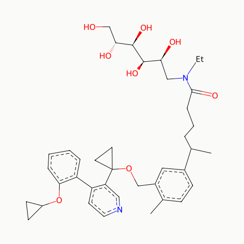 CCN(C[C@H](O)[C@@H](O)[C@H](O)[C@H](O)CO)C(=O)CCCC(C)c1ccc(C)c(COC2(c3cnccc3-c3ccccc3OC3CC3)CC2)c1